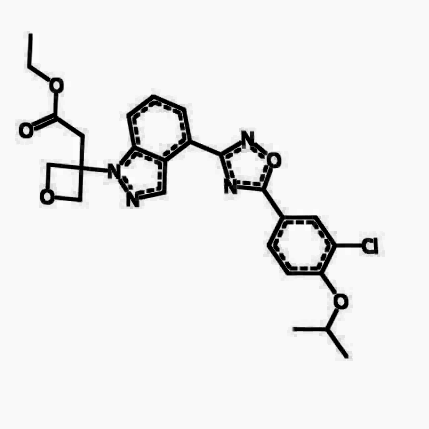 CCOC(=O)CC1(n2ncc3c(-c4noc(-c5ccc(OC(C)C)c(Cl)c5)n4)cccc32)COC1